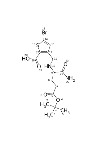 CC(C)(C)OC(=O)CC[C@H](NCc1cc(Br)sc1C(=O)O)C(N)=O